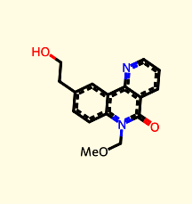 COCn1c(=O)c2cccnc2c2cc(CCO)ccc21